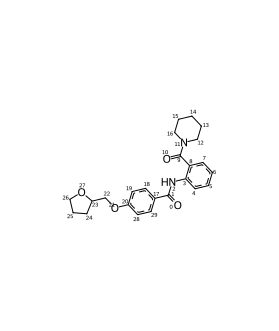 O=C(Nc1ccccc1C(=O)N1CCCCC1)c1ccc(OCC2CCCO2)cc1